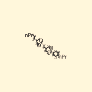 CCC/C=C/[C@H]1CO[C@H](CCC2COC([C@H]3CC[C@H](CCC)CC3)OC2)OC1